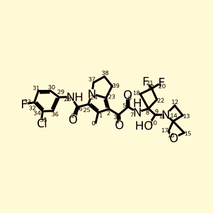 Cc1c(C(=O)C(=O)NC2(C(O)N3CCC34COC4)CC(F)(F)C2)c2n(c1C(=O)Nc1ccc(F)c(Cl)c1)CCC2